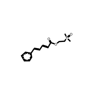 CP(C)(=O)CCOC(=O)/C=C/C=C/c1ccccc1